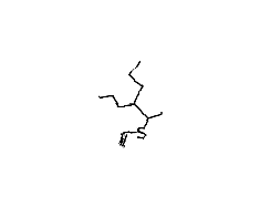 C=CSC(C)C(CCC)CCC